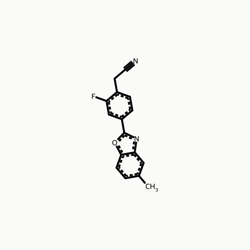 Cc1ccc2oc(-c3ccc(CC#N)c(F)c3)nc2c1